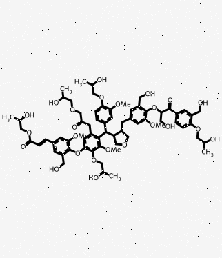 COc1cc(C(c2c(CC(=O)COCC(C)O)cc(Oc3c(CO)cc(C=CC(=O)OCC(C)O)cc3OC)c(OCC(C)O)c2OC)C2COCC2Cc2cc(CO)c(OC(CO)C(=O)c3ccc(OCC(C)O)c(CO)c3)c(OC)c2)ccc1OCC(C)O